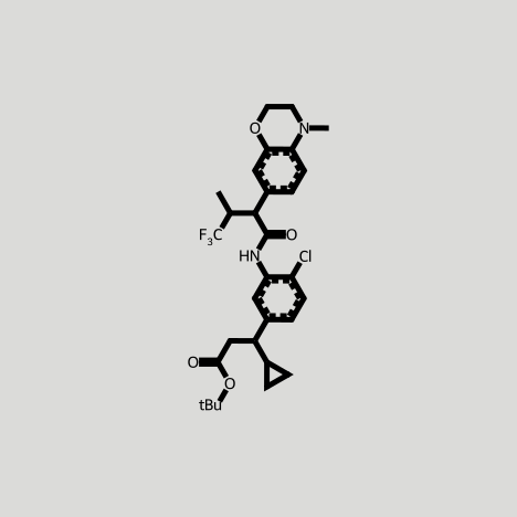 CC(C(C(=O)Nc1cc(C(CC(=O)OC(C)(C)C)C2CC2)ccc1Cl)c1ccc2c(c1)OCCN2C)C(F)(F)F